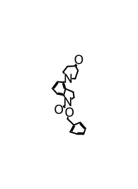 O=C1CCN(c2cccc3c2CCN3C(=O)OCc2ccccc2)CC1